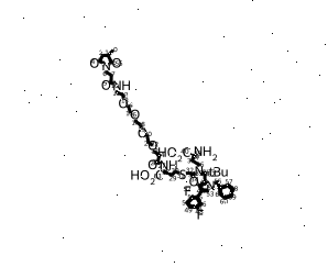 CC1CC(=O)N(CCC(=O)NCCOCCOCCOCCOCCC(=O)NC(CCSCC(=O)N(CC[C@H](N)C(=O)O)[C@@H](c2cc(-c3cc(F)ccc3F)cn2Cc2ccccc2)C(C)(C)C)C(=O)O)C1=O